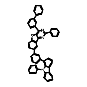 c1ccc(-c2cccc(-c3nc(-c4ccccc4)nc4c3sc3ccc(-c5cccc(-c6cccc7c8ccccc8n(-c8ccccc8)c67)c5)cc34)c2)cc1